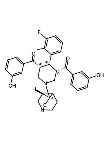 Cc1c(F)cccc1[C@H]1[C@@H](C(=O)c2cccc(O)c2)CN([C@H]2CN3CCC2CC3)C[C@H]1C(=O)c1cccc(O)c1